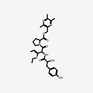 C/C=C(\SCC)C(NC(=O)C(O)Cc1ccc(O)cc1)C(=O)N1CCCC1C(=O)OCc1nc(C)c(C)nc1C